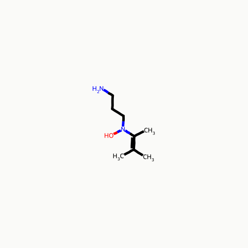 CC(C)=C(C)N(O)CCCN